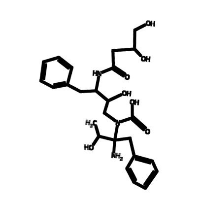 CC(O)C(N)(Cc1ccccc1)N(CC(O)C(Cc1ccccc1)NC(=O)CC(O)CO)C(=O)O